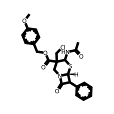 COc1ccc(COC(=O)C2(CCl)CN3C(=O)C(c4ccccc4)[C@H]3SC2NC(C)=O)cc1